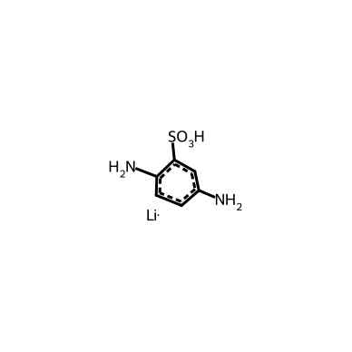 Nc1ccc(N)c(S(=O)(=O)O)c1.[Li]